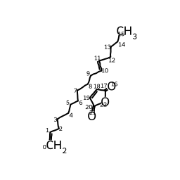 C=CCCCCCCCCC=CCCCC.O=C1C=CC(=O)O1